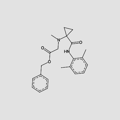 Cc1cccc(C)c1NC(=O)C1(N(C)CC(=O)OCc2ccccc2)CC1